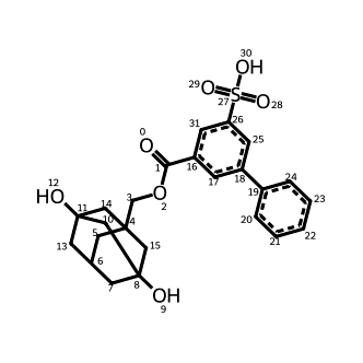 O=C(OCC12CC3CC(O)(CC(O)(C3)C1)C2)c1cc(-c2ccccc2)cc(S(=O)(=O)O)c1